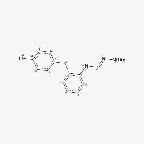 CC(=O)NN=CNc1ccccc1Cc1ccc(Cl)cc1